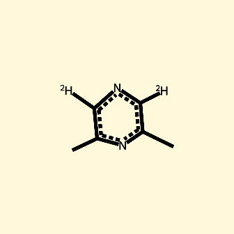 [2H]c1nc([2H])c(C)nc1C